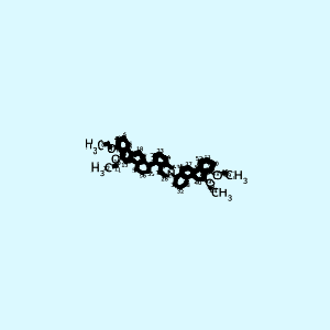 CCOc1cccc2c1c(OCC)cc1c3c(ccc12)C(c1cccc2c1C=CN(C1CCCc4c1ccc1c4cc(OCC)c4c(OCC)cccc41)C2)CCC3